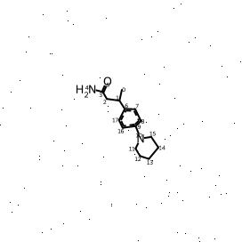 CC(CC(N)=O)c1ccc(N2CCCCC2)cc1